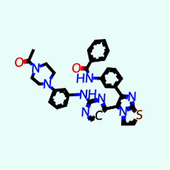 CC(=O)N1CCN(c2cccc(Nc3nccc(-c4c(-c5cccc(NC(=O)c6ccccc6)c5)nc5sccn45)n3)c2)CC1